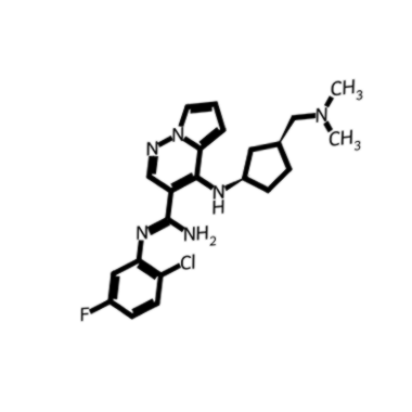 CN(C)C[C@H]1CC[C@@H](Nc2c(/C(N)=N/c3cc(F)ccc3Cl)cnn3cccc23)C1